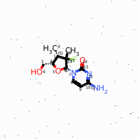 C[C@H]1[C@@H](CO)O[C@@H](n2ccc(N)nc2=O)C1(C)F